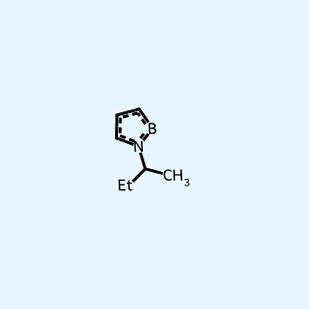 CCC(C)n1bccc1